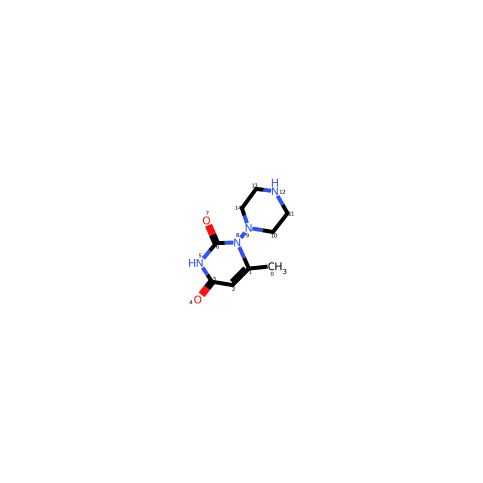 Cc1cc(=O)[nH]c(=O)n1N1CCNCC1